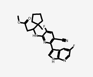 COC(=O)CC(Nc1nc(-c2c[nH]c3ncc(F)cc23)c(C#N)cc1F)C1(C)CCCC1